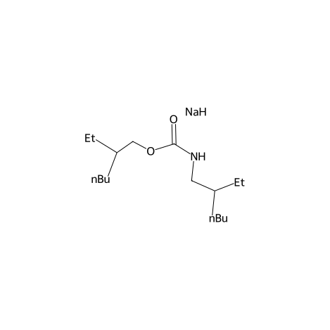 CCCCC(CC)CNC(=O)OCC(CC)CCCC.[NaH]